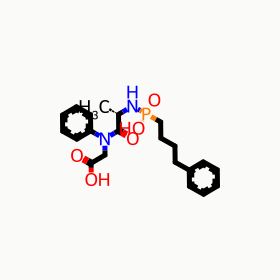 C[C@H](NP(=O)(O)CCCCc1ccccc1)C(=O)N(CC(=O)O)c1ccccc1